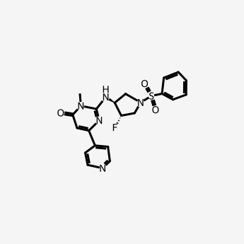 Cn1c(N[C@H]2CN(S(=O)(=O)c3ccccc3)C[C@@H]2F)nc(-c2ccncc2)cc1=O